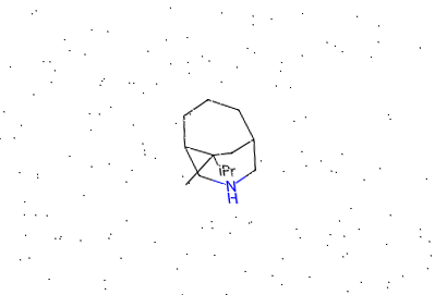 CC(C)C1(C)CC2CCCC1CNC2